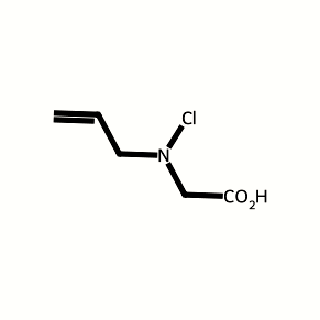 C=CCN(Cl)CC(=O)O